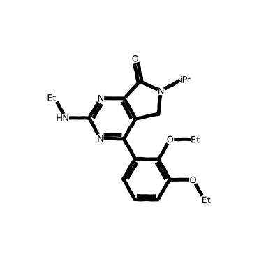 CCNc1nc2c(c(-c3cccc(OCC)c3OCC)n1)CN(C(C)C)C2=O